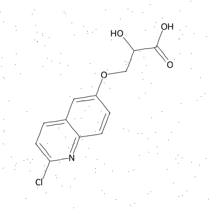 O=C(O)C(O)COc1ccc2nc(Cl)ccc2c1